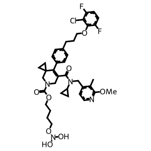 COc1nccc(CN(C(=O)C2=C(c3ccc(CCCOc4c(F)ccc(F)c4Cl)cc3)C3(CC3)CN(C(=O)OCCCCON(O)O)C2)C2CC2)c1C